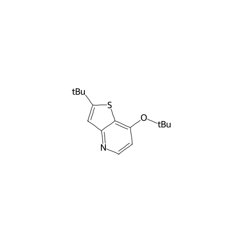 CC(C)(C)Oc1ccnc2cc(C(C)(C)C)sc12